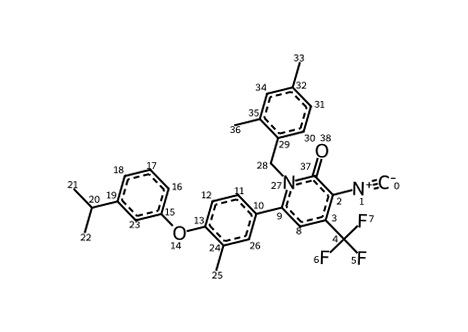 [C-]#[N+]c1c(C(F)(F)F)cc(-c2ccc(Oc3cccc(C(C)C)c3)c(C)c2)n(Cc2ccc(C)cc2C)c1=O